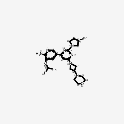 Nc1ncc(-c2cc(N3CC(N4CCOCC4)C3)nc(N3CC[C@@H](F)C3)n2)cc1OC(F)F